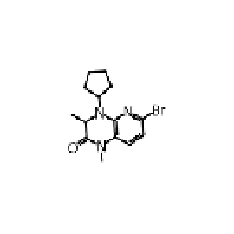 CC1C(=O)N(C)c2ccc(Br)nc2N1C1CCCC1